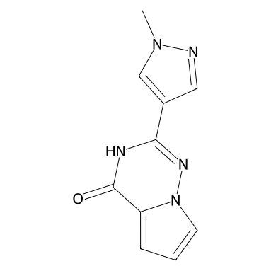 Cn1cc(-c2nn3cccc3c(=O)[nH]2)cn1